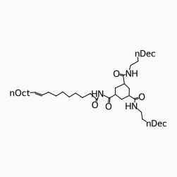 CCCCCCCCC=CCCCCCCCC(=O)NC(=O)C1CC(C(=O)NCCCCCCCCCCCC)CC(C(=O)NCCCCCCCCCCCC)C1